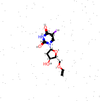 C=COC[C@H]1O[C@@H](n2cc(I)c(=O)[nH]c2=O)C[C@@H]1O